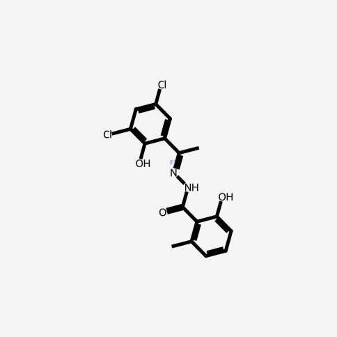 C/C(=N\NC(=O)c1c(C)cccc1O)c1cc(Cl)cc(Cl)c1O